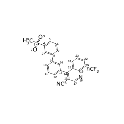 CS(=O)(=O)c1cccc(-c2cccc(-c3c(C#N)cnc4c(C(F)(F)F)cccc34)c2)c1